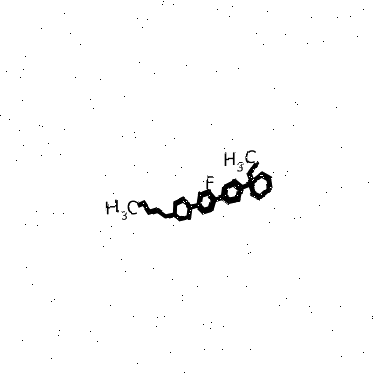 CCCCCC1CCC(c2ccc(-c3ccc(C4(CCC)CCCCC4)cc3)c(F)c2)CC1